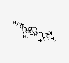 C=C1[C@H](O)CC(=C/C=C2\CCC[C@]3(C)[C@@H](C(C)CN4CC[C@@H](C)C4)CC[C@@H]23)C[C@H]1O